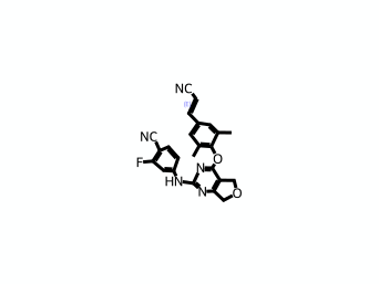 Cc1cc(/C=C/C#N)cc(C)c1Oc1nc(Nc2ccc(C#N)c(F)c2)nc2c1COC2